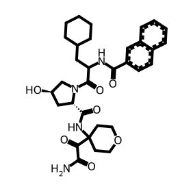 NC(=O)C(=O)C1(NC(=O)[C@@H]2C[C@@H](O)CN2C(=O)C(CC2CCCCC2)NC(=O)c2ccc3ccccc3c2)CCOCC1